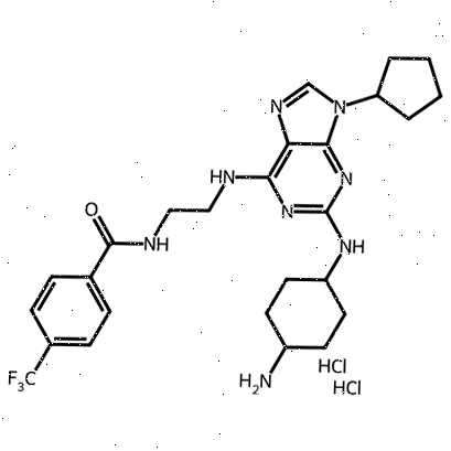 Cl.Cl.NC1CCC(Nc2nc(NCCNC(=O)c3ccc(C(F)(F)F)cc3)c3ncn(C4CCCC4)c3n2)CC1